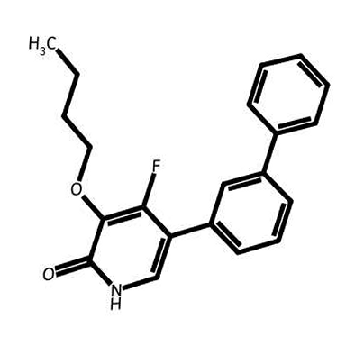 CCCCOc1c(F)c(-c2cccc(-c3ccccc3)c2)c[nH]c1=O